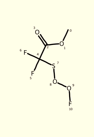 COC(=O)C(F)(F)SOOF